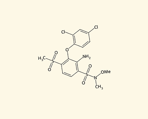 CON(C)S(=O)(=O)c1ccc(S(C)(=O)=O)c(Oc2ccc(Cl)cc2Cl)c1N